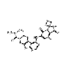 CN(C)C(=O)[C@H]1CCc2c(sc3ncnc(Nc4cc(Cl)c5n(c4=O)C4(CSC4)NC5=O)c23)C1